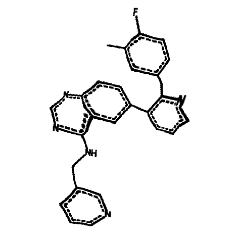 Cc1cc(-c2ncccc2-c2ccc3ncnc(NCc4cccnc4)c3c2)ccc1F